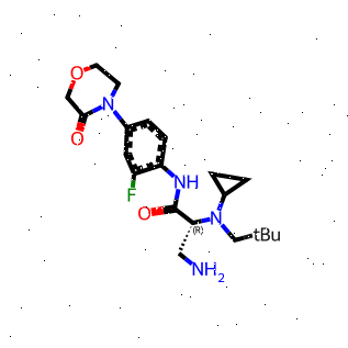 CC(C)(C)CN(C1CC1)[C@H](CN)C(=O)Nc1ccc(N2CCOCC2=O)cc1F